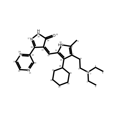 CCN(CC)CCc1c(C)[nH]c(C=C2C(=O)NN=C2c2cnccn2)c1C1CCCCC1